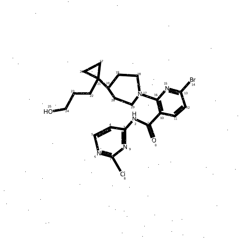 O=C(Nc1ccnc(Cl)n1)c1ccc(Br)nc1N1CCC(C2(CCCO)CC2)CC1